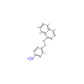 Nc1ccc(CCc2cccc3ccccc23)cc1